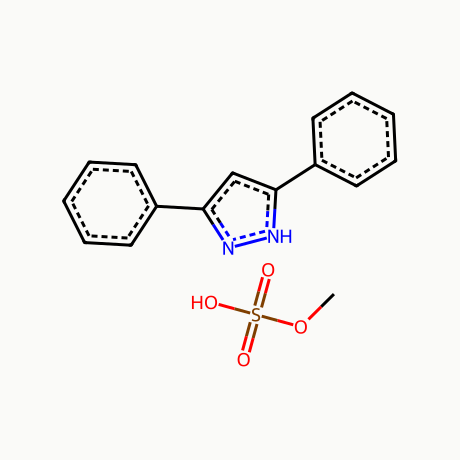 COS(=O)(=O)O.c1ccc(-c2cc(-c3ccccc3)[nH]n2)cc1